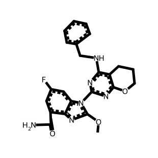 COc1nc2c(C(N)=O)cc(F)cc2n1-c1nc(NCc2ccccc2)c2c(n1)OCCC2